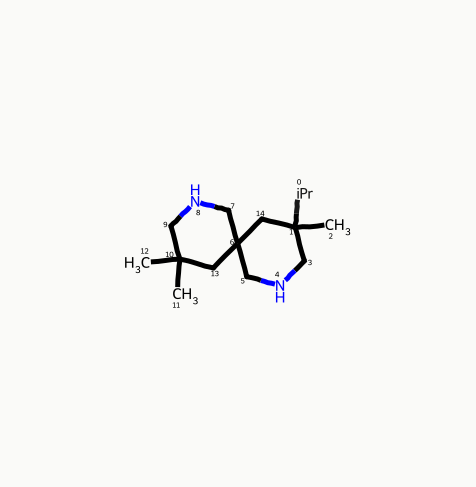 CC(C)C1(C)CNCC2(CNCC(C)(C)C2)C1